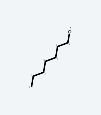 [CH2]CCCCCC[O]